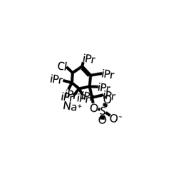 CC(C)C1=C(C(C)C)C(C(C)C)(C(OS(=O)(=O)[O-])(C(C)C)C(C)C)C(C(C)C)(C(C)C)C(C(C)C)(C(C)C)C1Cl.[Na+]